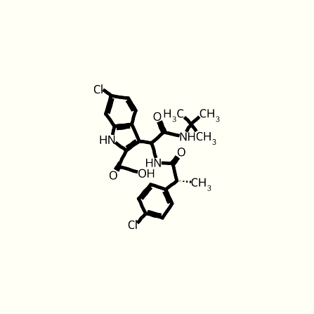 C[C@@H](C(=O)NC(C(=O)NC(C)(C)C)c1c(C(=O)O)[nH]c2cc(Cl)ccc12)c1ccc(Cl)cc1